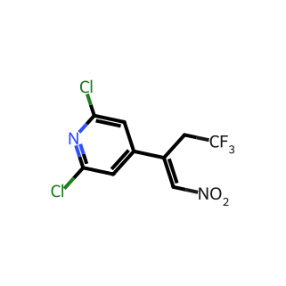 O=[N+]([O-])C=C(CC(F)(F)F)c1cc(Cl)nc(Cl)c1